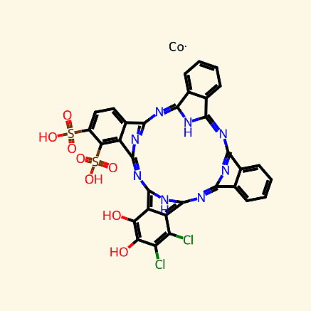 O=S(=O)(O)c1ccc2c(c1S(=O)(=O)O)-c1nc-2nc2[nH]c(nc3nc(nc4[nH]c(n1)c1c(O)c(O)c(Cl)c(Cl)c41)-c1ccccc1-3)c1ccccc21.[Co]